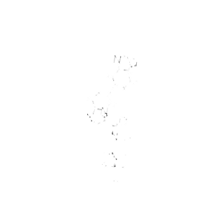 Cc1nc2cc(-c3ccc4ncc(C(=O)N5CCN(C(C)(C)C)CC5)n4c3)ccc2o1